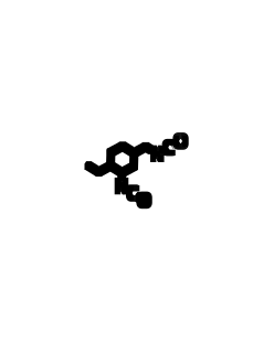 CCC1CCC(CN=C=O)CC1N=C=O